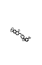 O=C1c2cc3c(cc2CCC1CN1CCC(O)(c2cccc(Br)c2)CC1)OCO3